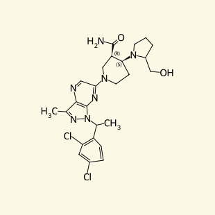 Cc1nn(C(C)c2ccc(Cl)cc2Cl)c2nc(N3CC[C@H](N4CCCC4CO)[C@H](C(N)=O)C3)cnc12